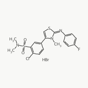 Br.CN(C)S(=O)(=O)c1cc(-c2cs/c(=N/c3ccc(F)cc3)n2C)ccc1Cl